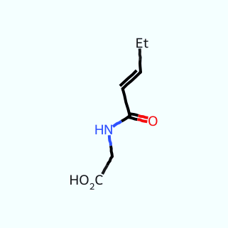 CCC=CC(=O)NCC(=O)O